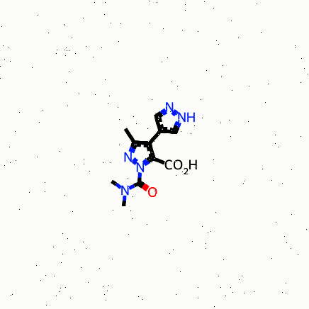 Cc1nn(C(=O)N(C)C)c(C(=O)O)c1-c1cn[nH]c1